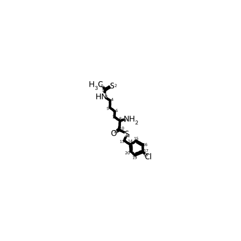 CC(=S)NCCCCC(N)C(=O)SCc1ccc(Cl)cc1